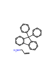 C=CCN.c1ccc(C2(c3ccccc3)c3ccccc3-c3ccccc32)cc1